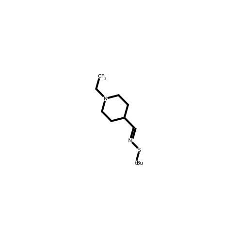 CC(C)(C)S/N=C/C1CCN(CC(F)(F)F)CC1